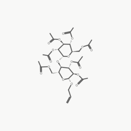 C=CCO[C@@H]1O[C@H](COC(C)=O)[C@@H](O[C@H]2O[C@H](COC(C)=O)[C@@H](OC(C)=O)[C@H](OC(C)=O)[C@H]2OC(C)=O)[C@H](OC(C)=O)[C@H]1OC(C)=O